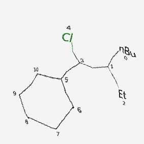 CCCCC(CC)C(Cl)C1CCCCC1